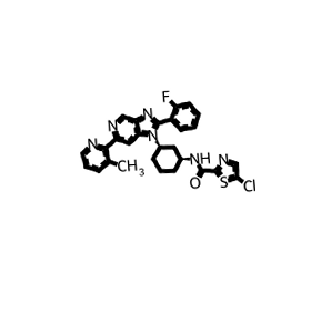 Cc1cccnc1-c1cc2c(cn1)nc(-c1ccccc1F)n2[C@@H]1CCC[C@H](NC(=O)c2ncc(Cl)s2)C1